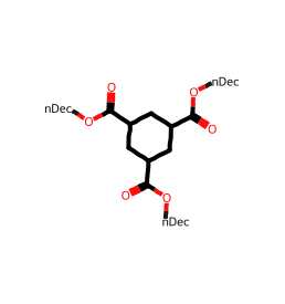 CCCCCCCCCCOC(=O)C1CC(C(=O)OCCCCCCCCCC)CC(C(=O)OCCCCCCCCCC)C1